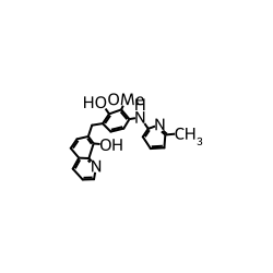 COc1c(Nc2cccc(C)n2)ccc(Cc2ccc3cccnc3c2O)c1O